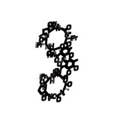 Cc1c2oc3c(C)ccc(C(=O)N[C@@H]4C(=O)N[C@H](C(C)C)C(=O)N5[C@H](C(=O)N(C)CC(=O)N(C)[C@@H](C(C)C)C(=O)O[C@@H]4C)[C@@H](O)C[C@@H]5C)c3nc-2c2c(c1=O)OC[C@H]1OC(=O)[C@H](C)N(C)C(=O)CN(C)C(=O)[C@@H]3CCCN3C(=O)[C@@H](C(C)C)NC(=O)[C@H]1NC2=O